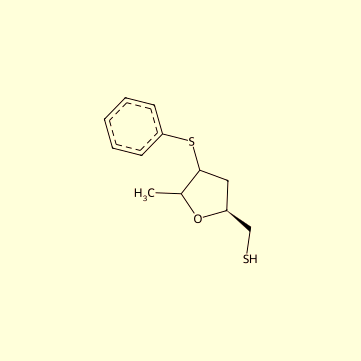 CC1O[C@H](CS)CC1Sc1ccccc1